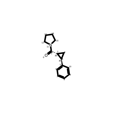 O=C([C@@H]1C[C@H]1c1ccccc1)N1CCCC1